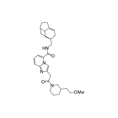 COCCC1CCCN(C(=O)Cc2cn3c(C(=O)NCC45CC=C6CCC(C4)C6C5)cccc3n2)C1